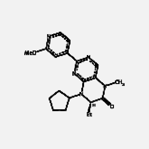 CC[C@@H]1C(=O)N(C)c2cnc(-c3ccnc(OC)c3)nc2N1C1CCCC1